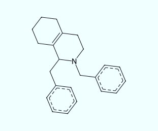 c1ccc(CC2C3=C(CCCC3)CCN2Cc2ccccc2)cc1